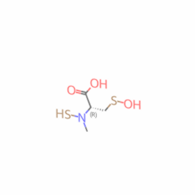 CN(S)[C@@H](CSO)C(=O)O